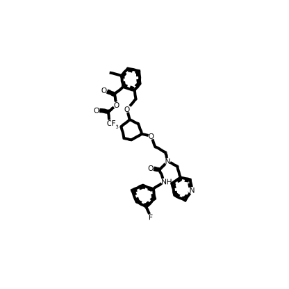 Cc1cccc(COC2CCCC(OCCN(Cc3cccnc3)C(=O)Nc3cccc(F)c3)C2)c1C(=O)OC(=O)C(F)(F)F